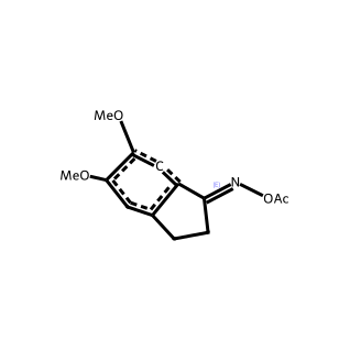 COc1cc2c(cc1OC)/C(=N/OC(C)=O)CC2